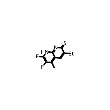 CCc1cc2c(C)c(F)c(F)[nH]c-2nc1=S